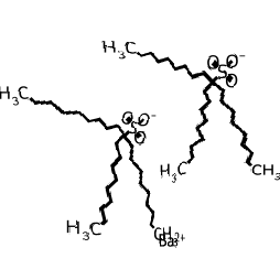 CCCCCCCCCC(CCCCCCCCC)(CCCCCCCCC)S(=O)(=O)[O-].CCCCCCCCCC(CCCCCCCCC)(CCCCCCCCC)S(=O)(=O)[O-].[Ba+2]